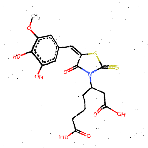 COc1cc(C=C2SC(=S)N(C(CCCC(=O)O)CC(=O)O)C2=O)cc(O)c1O